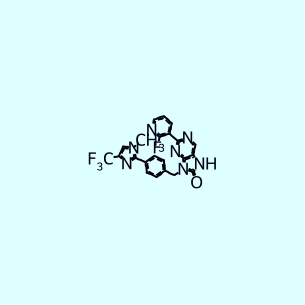 Cn1cc(C(F)(F)F)nc1-c1ccc(Cn2c(=O)[nH]c3cnc(-c4cccnc4F)nc32)cc1